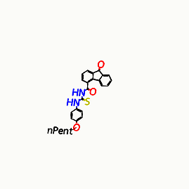 CCCCCOc1ccc(NC(=S)NC(=O)c2cccc3c2-c2ccccc2C3=O)cc1